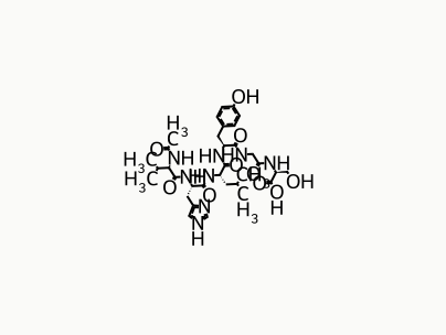 CC(=O)N[C@H](C(=O)N[C@@H](Cc1c[nH]cn1)C(=O)N[C@@H](CC(C)C)C(=O)N[C@@H](Cc1ccc(O)cc1)C(=O)NCC(=O)N[C@@H](CO)C(=O)O)C(C)C